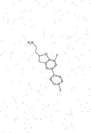 NCCC1Cc2cc(-c3ccc(F)cc3)cc(F)c2O1